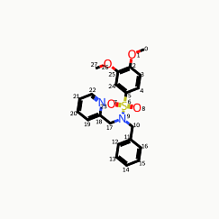 COc1ccc(S(=O)(=O)N(Cc2ccccc2)Cc2ccccn2)cc1OC